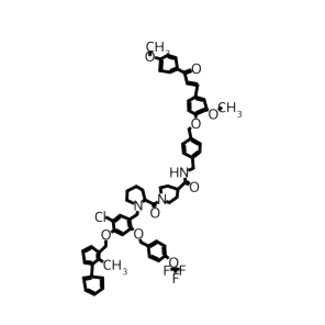 COc1ccc(C(=O)/C=C/c2ccc(OCc3ccc(CNC(=O)C4CCN(C(=O)C5CCCCN5Cc5cc(Cl)c(OCc6cccc(-c7ccccc7)c6C)cc5OCc5ccc(OC(F)(F)F)cc5)CC4)cc3)c(OC)c2)cc1